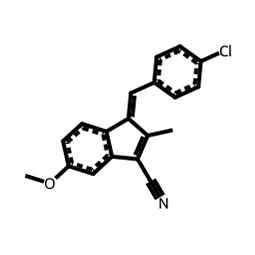 COc1ccc2c(c1)C(C#N)=C(C)C2=Cc1ccc(Cl)cc1